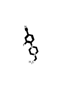 CCN1CCN(c2ccc(C#N)cc2F)CC1